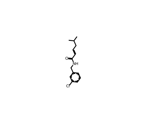 CC(C)C/C=C/C(=O)NCc1cccc(Cl)c1